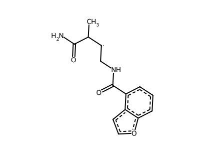 CC([CH]CNC(=O)c1cccc2occc12)C(N)=O